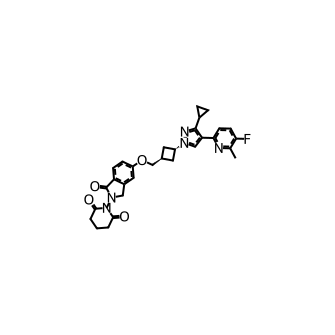 Cc1nc(-c2cn([C@H]3C[C@H](COc4ccc5c(c4)CN(N4C(=O)CCCC4=O)C5=O)C3)nc2C2CC2)ccc1F